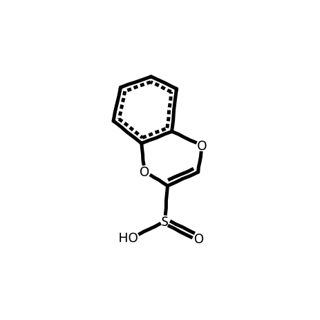 O=S(O)C1=COc2ccccc2O1